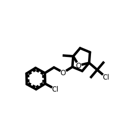 CC12CCC(C(C)(C)Cl)(CC1OCc1ccccc1Cl)O2